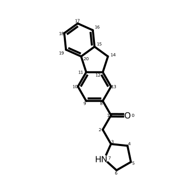 O=C(CC1CCCN1)c1ccc2c(c1)Cc1ccccc1-2